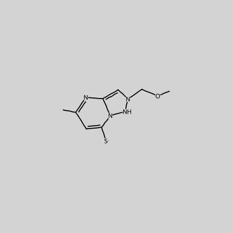 COCN1C=C2N=C(C)C=C([S])N2N1